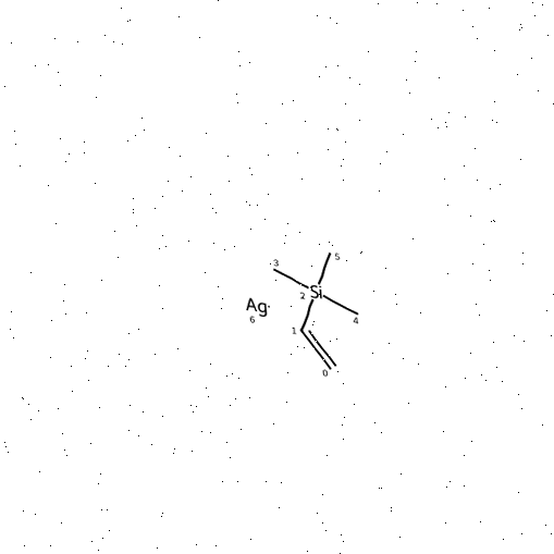 C=C[Si](C)(C)C.[Ag]